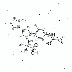 Cc1cc(NC(=O)C2CC2)ccc1N1CCC(N2CCCC2C)C1.O=C(O)C(F)(F)F